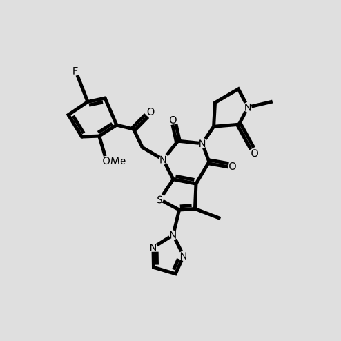 COc1ccc(F)cc1C(=O)Cn1c(=O)n(C2CCN(C)C2=O)c(=O)c2c(C)c(-n3nccn3)sc21